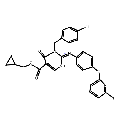 O=C(NCC1CC1)c1c[nH]/c(=N\c2ccc(Oc3cccc(F)n3)cc2)n(Cc2ccc(Cl)cc2)c1=O